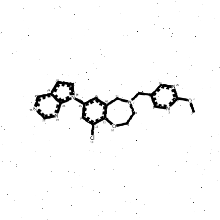 COc1ncc(CN2CCOc3c(Cl)cc(-n4ccc5cncnc54)cc3C2)cn1